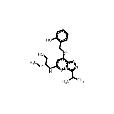 CC[C@H](CO)Nc1cc(NCc2ccccc2O)c2nnc(C(C)C)n2n1